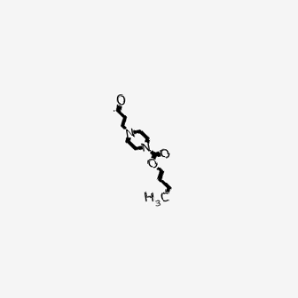 CCCCOC(=O)N1CCN(CC[C]=O)CC1